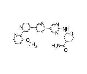 COc1cccnc1-c1cc(-c2ccc(-c3cnc(NC4CC(C(N)=O)CCO4)nc3)nc2)ccn1